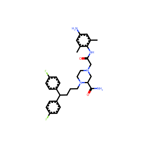 Cc1cc(N)cc(C)c1NC(=O)CN1CCN(CCCC(c2ccc(F)cc2)c2ccc(F)cc2)C(C(N)=O)C1